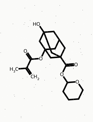 C=C(C)C(=O)OC12CC3CC(O)(C1)CC(C(=O)OC1CCCCO1)(C3)C2